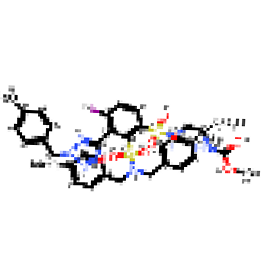 COc1ccc(CN(Cc2ccc(OC)cc2)S(=O)(=O)c2c(S(=O)(=O)NC[C@H](NC(=O)OC(C)(C)C)C(=O)O)ccc(I)c2-c2nnn(Cc3ccc(OC)cc3)n2)cc1